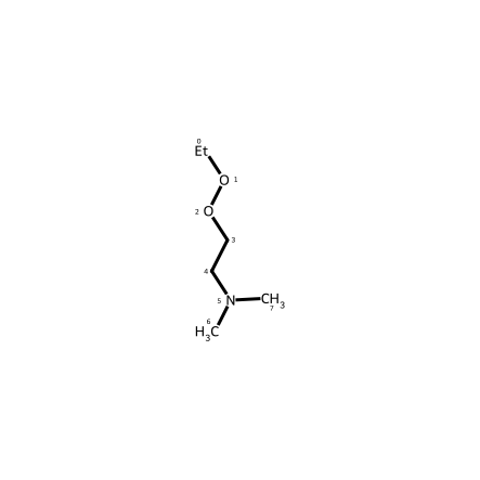 CCOOCCN(C)C